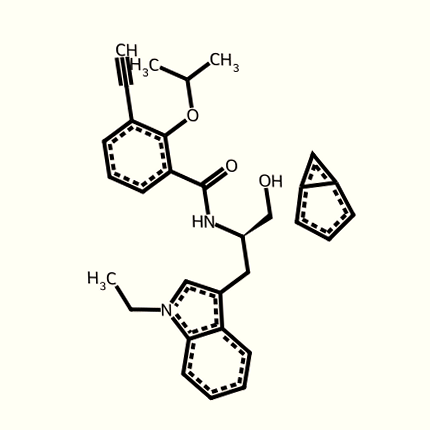 C#Cc1cccc(C(=O)N[C@@H](CO)Cc2cn(CC)c3ccccc23)c1OC(C)C.c1cc2cc-2c1